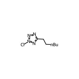 CCCCCCc1nnn(Cl)n1